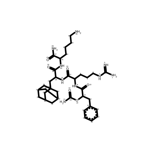 N=C(N)NCCCC(NC(=O)C(Cc1ccccc1)OC(N)=O)C(=O)NC(CC12CC3CC(CC(C3)C1)C2)C(=O)NC(CCCCN)C(N)=O